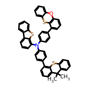 CC1(C)c2ccccc2Sc2c(-c3ccc(N(c4ccc(-c5cccc6c5Sc5ccccc5O6)cc4)c4cccc5c4sc4ccccc45)cc3)cccc21